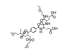 CCOCCNC(=O)C(CCC(=O)O)NC(=O)[C@H](CCC(=O)O)NC(=O)c1ccc(C(=O)C(CS(=O)(=O)CCOC)CS(=O)(=O)C(I)CCOC)cc1